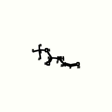 CC(C)(C)OC(=O)NN=C=O